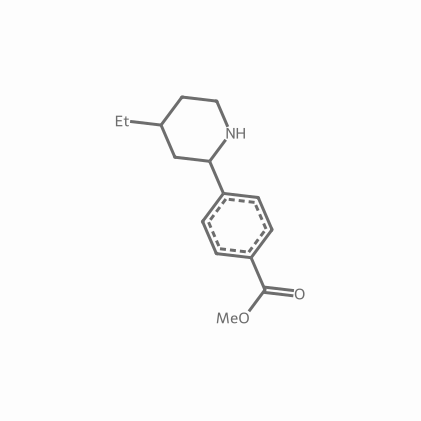 CCC1CCNC(c2ccc(C(=O)OC)cc2)C1